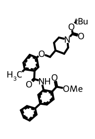 COC(=O)c1ccc(-c2ccccc2)cc1NC(=O)c1cc(OCC2CCN(C(=O)OC(C)(C)C)CC2)ccc1C